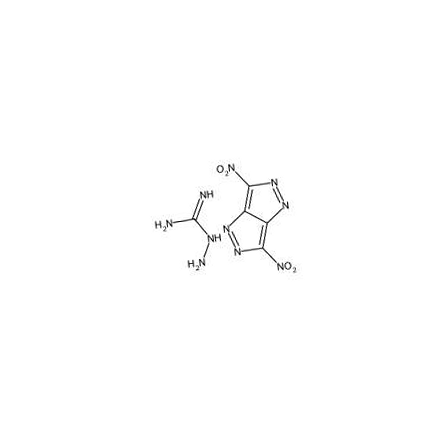 N=C(N)NN.O=[N+]([O-])C1=C2N=NC([N+](=O)[O-])=C2N=N1